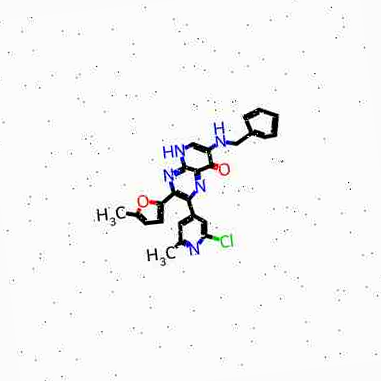 Cc1cc(-c2nc3c(=O)c(NCc4ccccc4)c[nH]c3nc2-c2ccc(C)o2)cc(Cl)n1